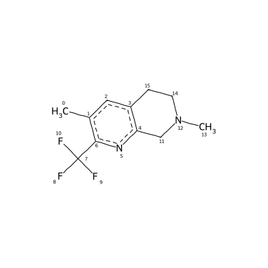 Cc1cc2c(nc1C(F)(F)F)CN(C)CC2